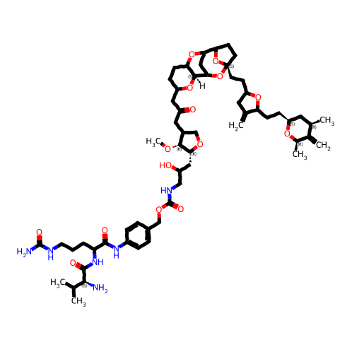 C=C1CC(CC[C@]23CCC(O2)C2CC(O3)[C@H]3OC(CC(=O)CC4CO[C@H](CC(O)CNC(=O)OCc5ccc(NC(=O)C(CCCNC(N)=O)NC(=O)[C@@H](N)C(C)C)cc5)[C@@H]4OC)CCC3O2)OC1CC[C@H]1C[C@@H](C)C(=C)[C@@H](C)O1